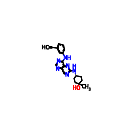 C#Cc1cccc(Nc2ncnc3cnc(N[C@H]4CC[C@@](C)(O)CC4)nc23)c1